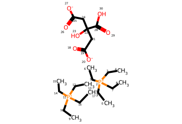 CC[P+](CC)(CC)CC.CC[P+](CC)(CC)CC.O=C([O-])CC(O)(CC(=O)[O-])C(=O)O